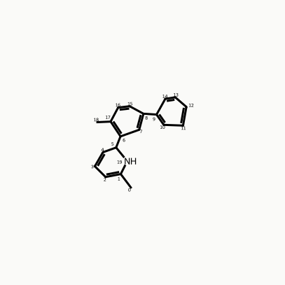 CC1=CC=CC(c2cc(-c3ccccc3)ccc2C)N1